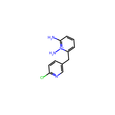 Nc1cccc(Cc2ccc(Cl)nc2)[n+]1N